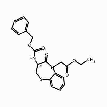 CCOC(=O)CN1C(=O)[C@H](NC(=O)OCc2ccccc2)CSc2ccccc21